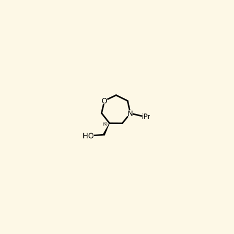 CC(C)N1CCOC[C@H](CO)C1